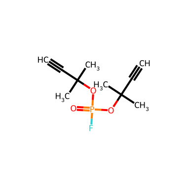 C#CC(C)(C)OP(=O)(F)OC(C)(C)C#C